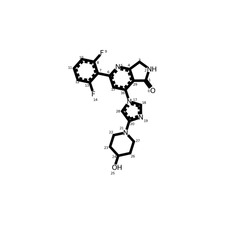 O=C1NCc2nc(-c3c(F)cccc3F)cc(-n3cnc(N4CCC(O)CC4)c3)c21